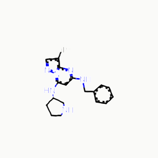 CC(C)c1cnn2c(N[C@@H]3CCCNC3)cc(NCc3ccccc3)nc12